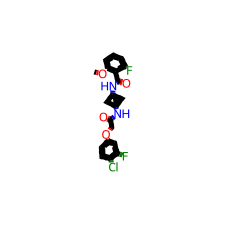 COc1cccc(F)c1C(=O)NC12CC(NC(=O)COc3ccc(Cl)c(F)c3)(C1)C2